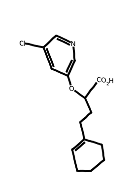 O=C(O)C(CCC1=CCCCC1)Oc1cncc(Cl)c1